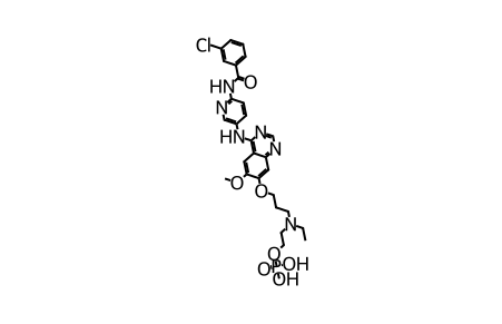 CCN(CCCOc1cc2ncnc(Nc3ccc(NC(=O)c4cccc(Cl)c4)nc3)c2cc1OC)CCOP(=O)(O)O